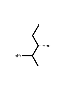 CCCC(C)[C@@H](C)CI